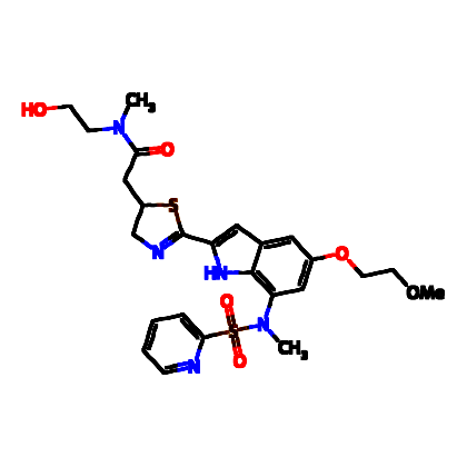 COCCOc1cc(N(C)S(=O)(=O)c2ccccn2)c2[nH]c(C3=NCC(CC(=O)N(C)CCO)S3)cc2c1